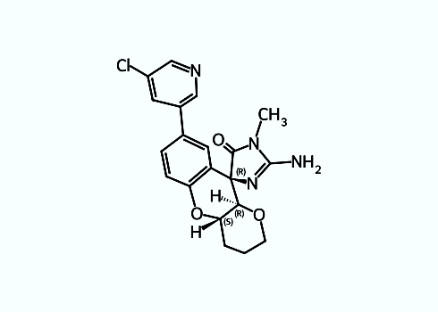 CN1C(=O)[C@@]2(N=C1N)c1cc(-c3cncc(Cl)c3)ccc1O[C@H]1CCCO[C@@H]12